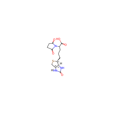 O=C1N[C@H]2[C@H](CS[C@H]2CCCC(C(=O)O)N2C(=O)CCC2=O)N1